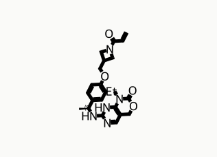 C=CC(=O)N1CC(COc2ccc([C@H](C)NC3N=CC4=C(N3)N(CC)C(=O)OC4)cc2)C1